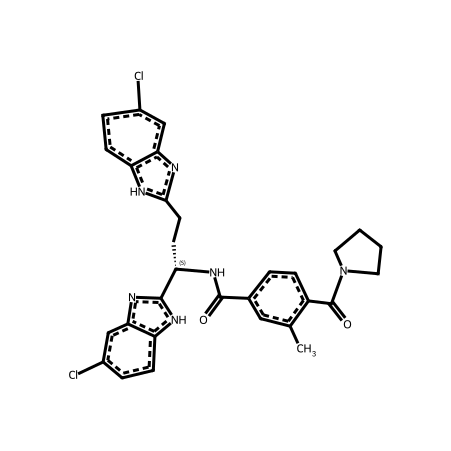 Cc1cc(C(=O)N[C@@H](CCc2nc3cc(Cl)ccc3[nH]2)c2nc3cc(Cl)ccc3[nH]2)ccc1C(=O)N1CCCC1